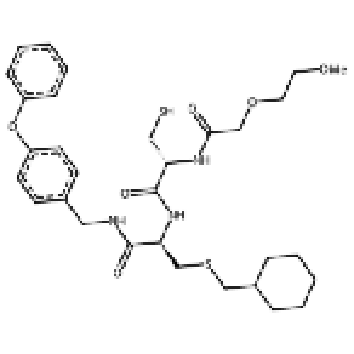 COCCOCC(=O)N[C@@H](CS)C(=O)N[C@@H](CSCC1CCCCC1)C(=O)NCc1ccc(Oc2ccccc2)cc1